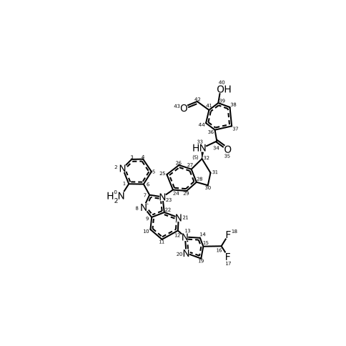 Nc1ncccc1-c1nc2ccc(-n3cc(C(F)F)cn3)nc2n1-c1ccc2c(c1)CC[C@@H]2NC(=O)c1ccc(O)c(C=O)c1